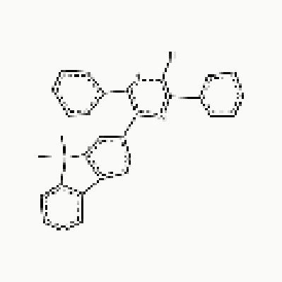 CC1(C)c2ccccc2-c2ccc(-c3nc(-c4ccccc4)c(Cl)nc3-c3ccccc3)cc21